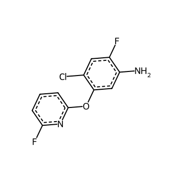 Nc1cc(Oc2cccc(F)n2)c(Cl)cc1F